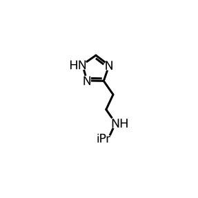 CC(C)NCCc1nc[nH]n1